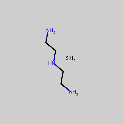 NCCNCCN.[SiH4]